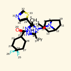 Cc1nnc(C(C)C)n1C1CC2CCC(C1)N2CC[C@H](NC(=O)C1CCC(F)(F)CC1)c1cncs1